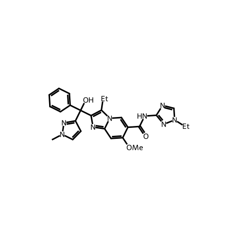 CCc1c(C(O)(c2ccccc2)c2ccn(C)n2)nc2cc(OC)c(C(=O)Nc3ncn(CC)n3)cn12